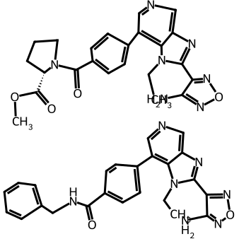 CCn1c(-c2nonc2N)nc2cncc(-c3ccc(C(=O)N4CCC[C@H]4C(=O)OC)cc3)c21.CCn1c(-c2nonc2N)nc2cncc(-c3ccc(C(=O)NCc4ccccc4)cc3)c21